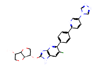 O[C@@H]1COC2C1OC[C@H]2Oc1nc2nc(-c3ccc(-c4ccc(-n5cnnc5)cn4)cc3)c(Cl)cc2[nH]1